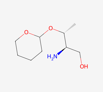 C[C@@H](OC1CCCCO1)[C@H](N)CO